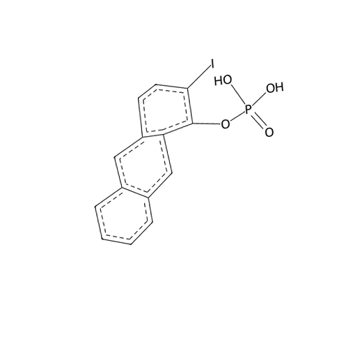 O=P(O)(O)Oc1c(I)ccc2cc3ccccc3cc12